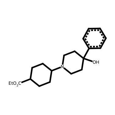 CCOC(=O)C1CCC(N2CCC(O)(c3ccccc3)CC2)CC1